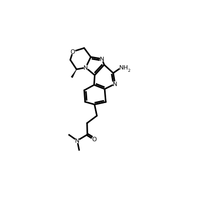 C[C@H]1COCc2nc3c(N)nc4cc(CCC(=O)N(C)C)ccc4c3n21